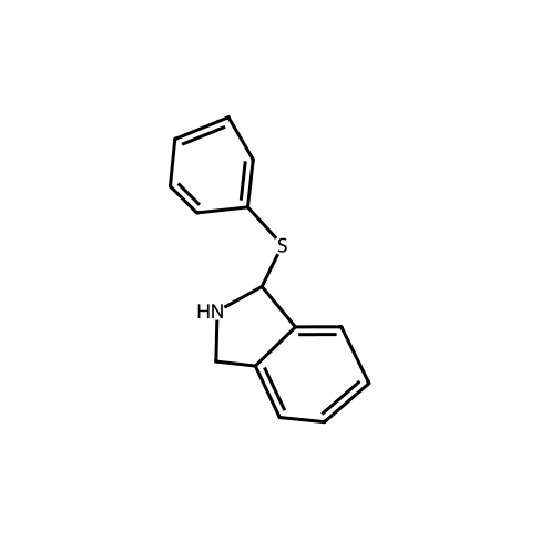 c1ccc(SC2NCc3ccccc32)cc1